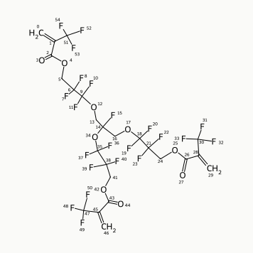 C=C(C(=O)OCC(F)(F)C(F)(F)OCC(F)(COC(F)(F)C(F)(F)COC(=O)C(=C)C(F)(F)F)OC(F)(F)C(F)(F)COC(=O)C(=C)C(F)(F)F)C(F)(F)F